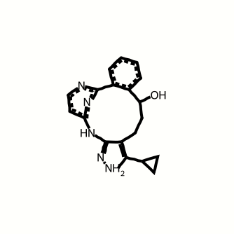 C/C(=C1/CCC(O)c2ccccc2-c2nccc(n2)N/C1=N/N)C1CC1